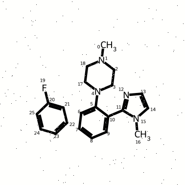 CN1CCN(c2ccccc2-c2nccn2C)CC1.Fc1ccccc1